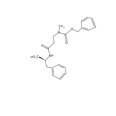 CN(CCC(=O)N[C@@H](Cc1ccccc1)C(=O)O)C(=O)OCc1ccccc1